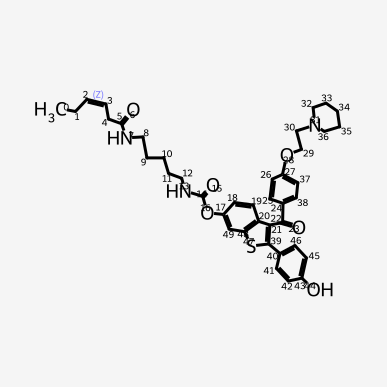 CC/C=C\CC(=O)NCCCCCNC(=O)Oc1ccc2c(C(=O)c3ccc(OCCN4CCCCC4)cc3)c(-c3ccc(O)cc3)sc2c1